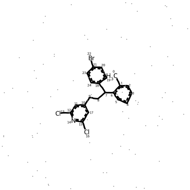 Cc1ccccc1C(CCc1cc(Cl)nc(Cl)c1)c1ccc(Br)cc1